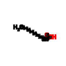 CCCCCCCCCCCCCC[CH2][Zn][CH2]C(=O)O